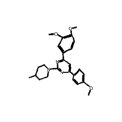 COc1ccc(-c2cc(-c3ccc(OC)c(OC)c3)nc(N3CCC(C)CC3)n2)cc1